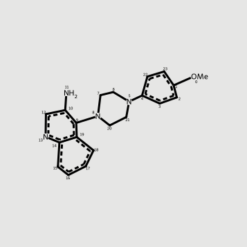 COc1ccc(N2CCN(c3c(N)cnc4ccccc34)CC2)cc1